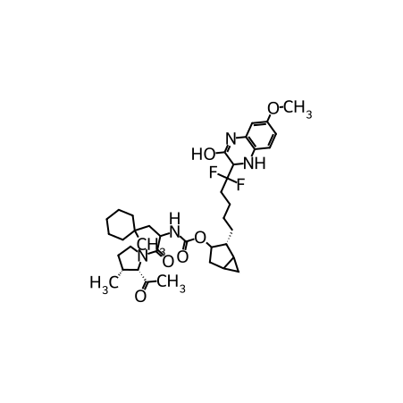 COc1ccc2c(c1)N=C(O)C(C(F)(F)CCCC[C@H]1C(OC(=O)NC(CC3(C)CCCCC3)C(=O)N3CC[C@@H](C)[C@H]3C(C)=O)CC3CC31)N2